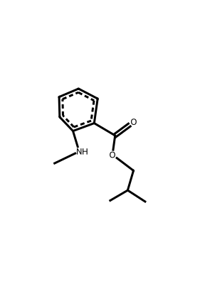 CNc1ccccc1C(=O)OCC(C)C